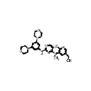 Cc1ncc(CO)cc1N(C)c1ccnc(Nc2cc(N3CCOCC3)cc(N3CCOCC3)c2)n1